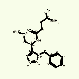 CC(C)C(N)CCC(=O)N[C@H](COC(C)(C)C)c1nnnn1Cc1ccccc1